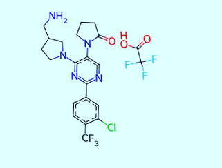 NCC1CCN(c2nc(-c3ccc(C(F)(F)F)c(Cl)c3)ncc2N2CCCC2=O)C1.O=C(O)C(F)(F)F